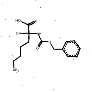 NCCCCC(Cl)(NC(=O)OCc1ccccc1)C(=O)O